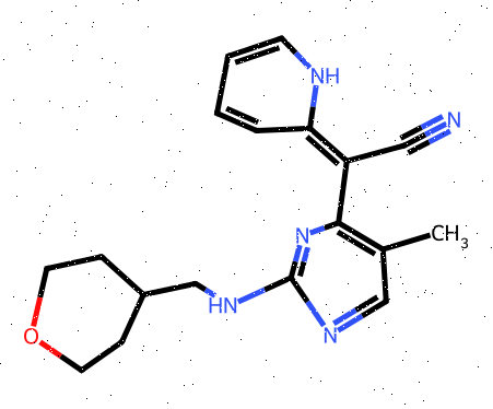 Cc1cnc(NCC2CCOCC2)nc1/C(C#N)=C1\C=CC=CN1